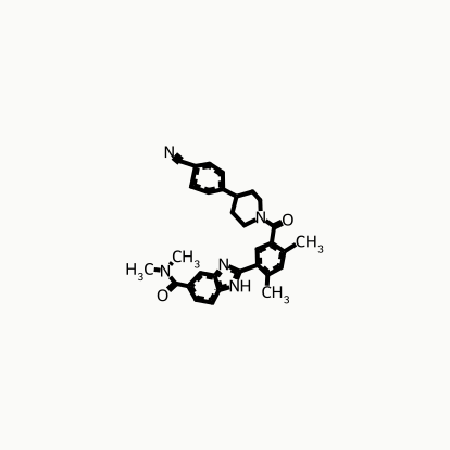 Cc1cc(C)c(-c2nc3cc(C(=O)N(C)C)ccc3[nH]2)cc1C(=O)N1CCC(c2ccc(C#N)cc2)CC1